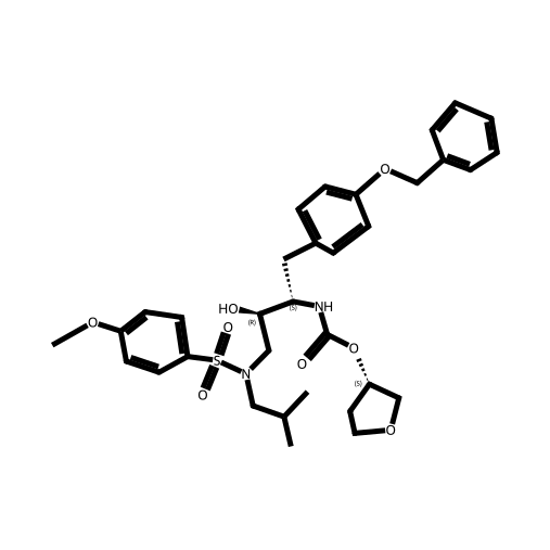 COc1ccc(S(=O)(=O)N(CC(C)C)C[C@@H](O)[C@H](Cc2ccc(OCc3ccccc3)cc2)NC(=O)O[C@H]2CCOC2)cc1